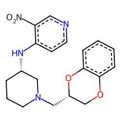 O=[N+]([O-])c1cnccc1N[C@H]1CCCN(C[C@H]2COc3ccccc3O2)C1